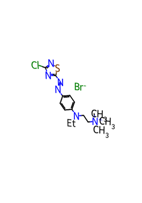 CCN(CC[N+](C)(C)C)c1ccc(/N=N/c2nc(Cl)ns2)cc1.[Br-]